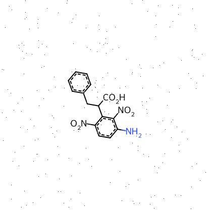 Nc1ccc([N+](=O)[O-])c(C(Cc2ccccc2)C(=O)O)c1[N+](=O)[O-]